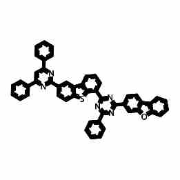 c1ccc(-c2cc(-c3ccccc3)nc(-c3ccc4sc5c(-c6nc(-c7ccccc7)nc(-c7ccc8c(c7)oc7ccccc78)n6)cccc5c4c3)n2)cc1